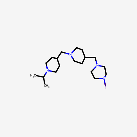 CC(C)N1CCC(CN2CCC(CN3CCN(I)CC3)CC2)CC1